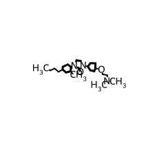 CCCCc1ccc(-n2ccn(-c3ccc(OCCN(C)C)cc3)c2=O)c(C)c1